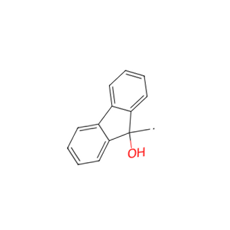 [CH2]C1(O)c2ccccc2-c2ccccc21